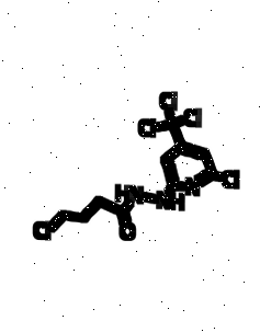 O=C(CCCCl)NNc1cc(C(Cl)(Cl)Cl)cc(Cl)n1